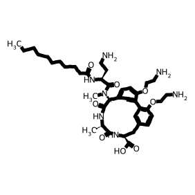 CCCCCCCCCCC(=O)N[C@@H](CCN)C(=O)N(C)[C@@H]1C(=O)N[C@@H](C)C(=O)N[C@H](C(=O)O)Cc2ccc(OCCN)c(c2)-c2cc1ccc2OCCN